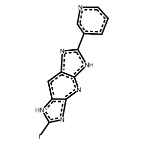 Ic1nc2nc3[nH]c(-c4cccnc4)nc3cc2[nH]1